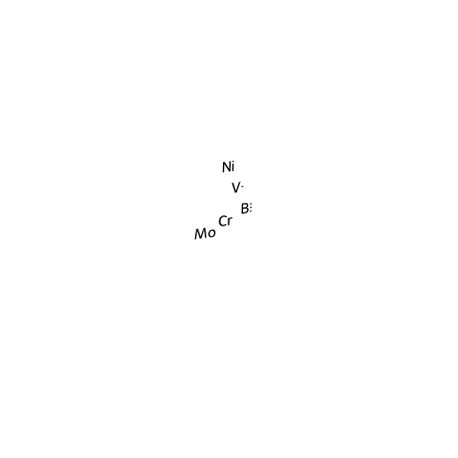 [B].[Cr].[Mo].[Ni].[V]